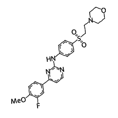 COc1ccc(-c2ccnc(Nc3ccc(S(=O)(=O)CCN4CCOCC4)cc3)n2)cc1F